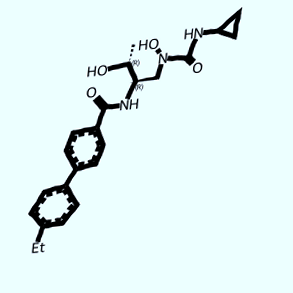 CCc1ccc(-c2ccc(C(=O)N[C@H](CN(O)C(=O)NC3CC3)[C@@H](C)O)cc2)cc1